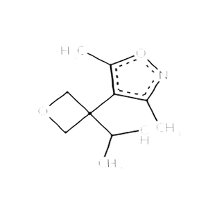 Cc1noc(C)c1C1(C(C)C)COC1